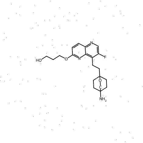 NC12CCC(CCc3c(F)cnc4ccc(OCCCO)nc34)(CC1)OC2